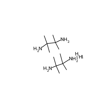 CC(C)(N)C(C)(C)N.CC(C)(N)C(C)(C)N.I.I